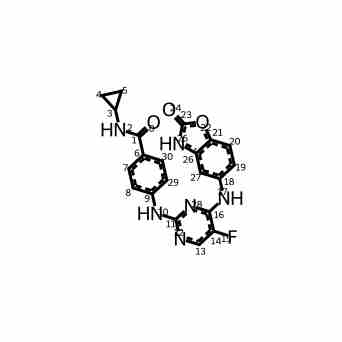 O=C(NC1CC1)c1ccc(Nc2ncc(F)c(Nc3ccc4oc(=O)[nH]c4c3)n2)cc1